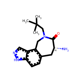 CC(C)(C)CN1Cc2c(ccc3[nH]ncc23)C[C@@H](N)C1=O